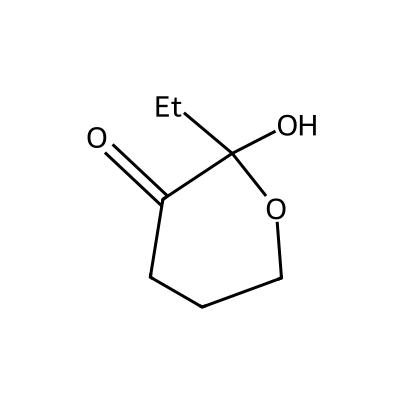 CCC1(O)OCCCC1=O